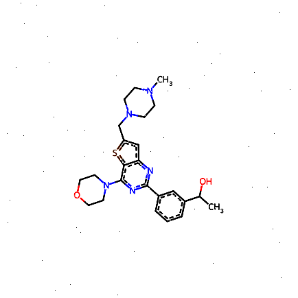 CC(O)c1cccc(-c2nc(N3CCOCC3)c3sc(CN4CCN(C)CC4)cc3n2)c1